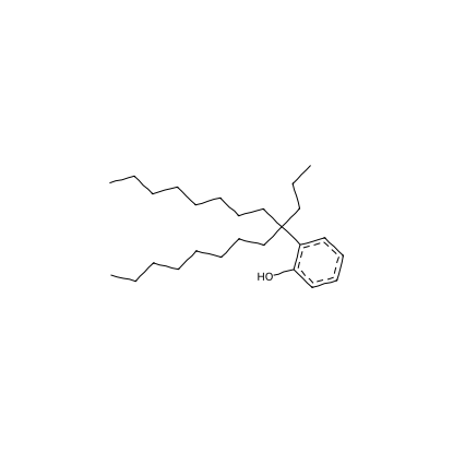 CCCCCCCCC(CCC)(CCCCCCCC)c1ccccc1O